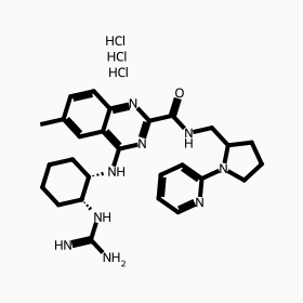 Cc1ccc2nc(C(=O)NCC3CCCN3c3ccccn3)nc(N[C@H]3CCCC[C@H]3NC(=N)N)c2c1.Cl.Cl.Cl